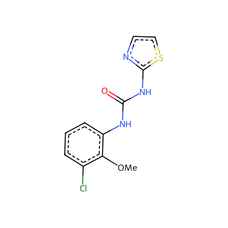 COc1c(Cl)cccc1NC(=O)Nc1nccs1